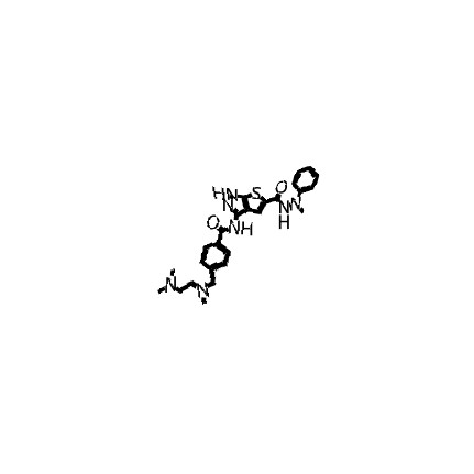 CN(C)CCN(C)Cc1ccc(C(=O)Nc2n[nH]c3sc(C(=O)NN(C)c4ccccc4)cc23)cc1